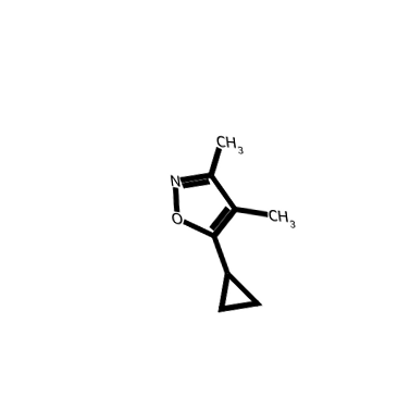 Cc1noc(C2CC2)c1C